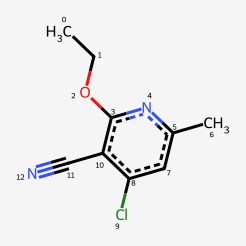 CCOc1nc(C)cc(Cl)c1C#N